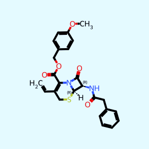 C=CC1=C(C(=O)OCc2ccc(OC)cc2)N2C(=O)[C@@H](NC(=O)Cc3ccccc3)[C@H]2SC1